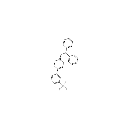 FC(F)(F)c1cccc(C2=CCN(CC(c3ccccc3)c3ccccc3)CC2)c1